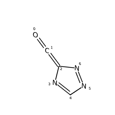 O=C=C1N=CN=N1